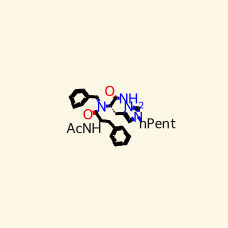 CCCCCn1cnc(C[C@@H](C(N)=O)N(Cc2ccccc2)C(=O)[C@H](Cc2ccccc2)NC(C)=O)c1